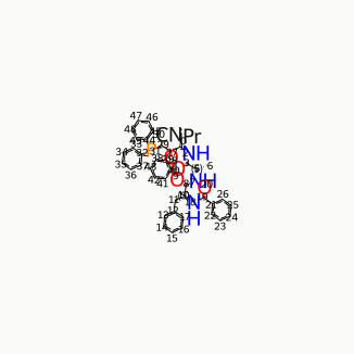 CC(C)C(NC(=O)[C@H](C)NC(=O)[C@H](Cc1ccccc1)NC(=O)c1ccccc1)C(=O)C(C#N)=P(c1ccccc1)(c1ccccc1)c1ccccc1